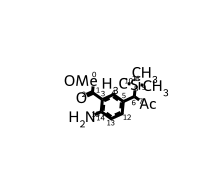 COC(=O)c1cc(C(C(C)=O)[Si](C)(C)C)ccc1N